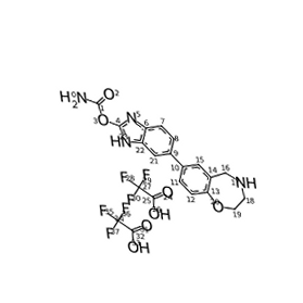 NC(=O)Oc1nc2ccc(-c3ccc4c(c3)CNCCO4)cc2[nH]1.O=C(O)C(F)(F)F.O=C(O)C(F)(F)F